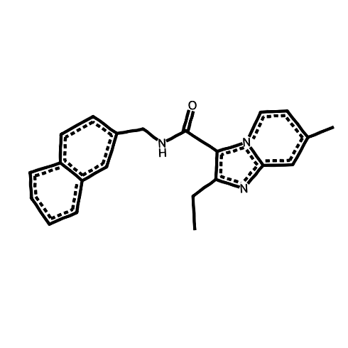 CCc1nc2cc(C)ccn2c1C(=O)NCc1ccc2ccccc2c1